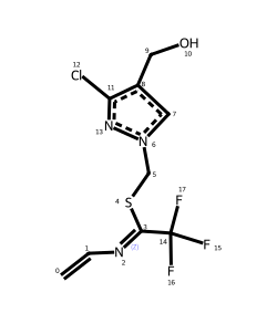 C=C/N=C(\SCn1cc(CO)c(Cl)n1)C(F)(F)F